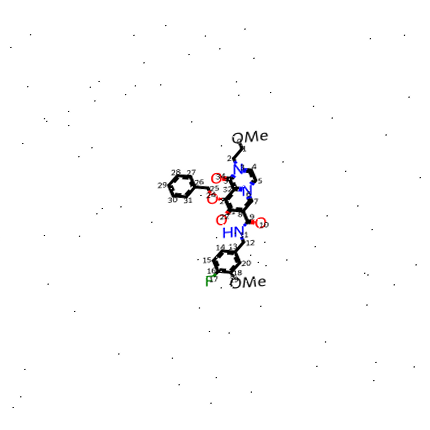 COCCn1ccn2cc(C(=O)NCc3ccc(F)c(OC)c3)c(=O)c(OCc3ccccc3)c2c1=O